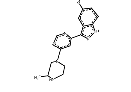 CC1CN(c2cc(-c3n[nH]c4ccc(OC(C)C)cc34)ncn2)CCN1